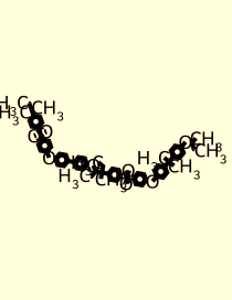 CCC(C)Oc1ccc(C(C)(C)c2ccc(Oc3ccc(S(=O)(=O)c4ccc(C(C)(CC)C(CC)Oc5ccc(-c6ccc(Oc7ccc(S(=O)(=O)c8ccc(C(C)(C)CC)cc8)cc7)cc6)cc5)cc4)cc3)cc2)cc1